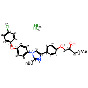 CCCCc1nc(-c2ccc(OCC(O)CNC)cc2)cn1-c1ccc(Oc2ccc(Cl)cc2)cc1.Cl.Cl